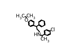 CC(C)Oc1ccc(C(CCNC(C)c2ccc(Cl)cc2)c2ccccc2)cc1